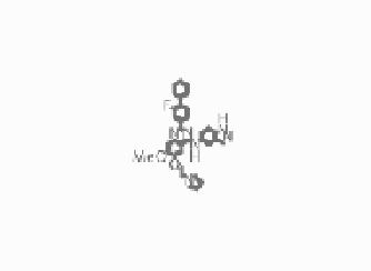 COc1cc2nc(-c3ccc(-c4ccccc4)c(F)c3)nc(Nc3ccc4[nH]ncc4c3)c2cc1OCCn1cccc1